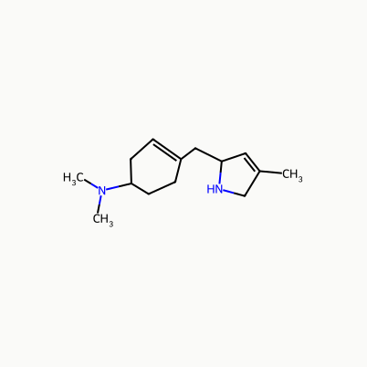 CC1=CC(CC2=CCC(N(C)C)CC2)NC1